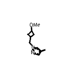 COC1CC(Cn2cc(C)cn2)C1